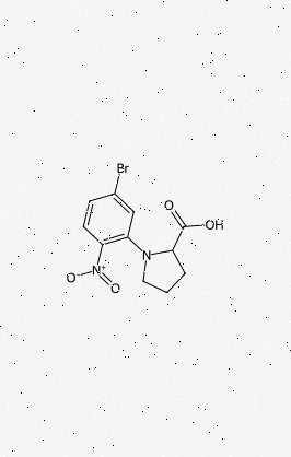 O=C(O)C1CCCN1c1cc(Br)ccc1[N+](=O)[O-]